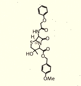 COc1ccc(COC(=O)C2N3C(=O)C(NC(=O)COc4ccccc4)[C@@H]3SCC2(C)O)cc1